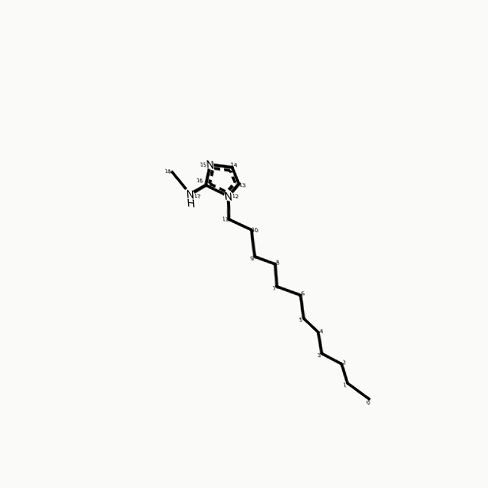 CCCCCCCCCCCCn1ccnc1NC